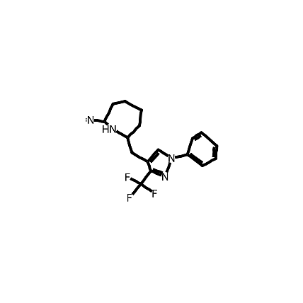 [N]C1CCCCC(Cc2cn(-c3ccccc3)nc2C(F)(F)F)N1